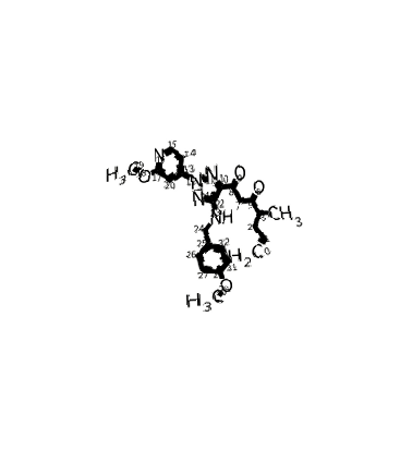 C=CCC(C)C(=O)CC(=O)c1nn(-c2ccnc(OC)c2)nc1NCc1ccc(OC)cc1